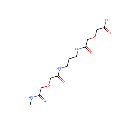 CNC(=O)COCC(=O)NCCCNC(=O)COCC(=O)O